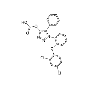 O=C(O)Oc1nnn(-c2ccccc2Oc2ccc(Cl)cc2Cl)c1-c1ccccc1